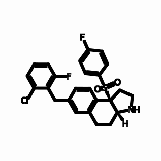 O=S(=O)(c1ccc(F)cc1)[C@@]12CCN[C@@H]1CCc1cc(Cc3c(F)cccc3Cl)ccc12